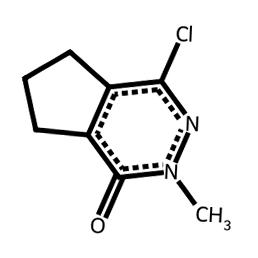 Cn1nc(Cl)c2c(c1=O)CCC2